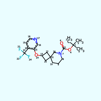 CC(C)(C)OC(=O)N1CCCC2(CC(Oc3cnccc3C(F)(F)F)C2)C1